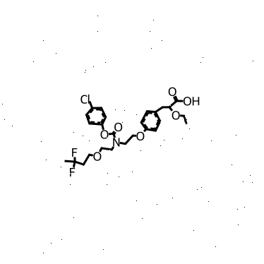 CCOC(Cc1ccc(OCCN(CCOCCC(C)(F)F)C(=O)Oc2ccc(Cl)cc2)cc1)C(=O)O